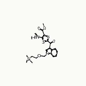 CNc1sc(C(=O)c2cn(COCC[Si](C)(C)C)c3ccccc23)nc1C(=O)OC